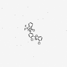 O=C(Nc1ccc(Cl)c(-c2nc3c(Cl)cccc3o2)c1)c1ccccc1C(F)(F)F